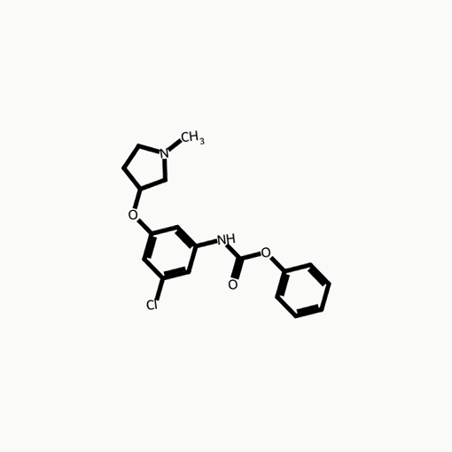 CN1CCC(Oc2cc(Cl)cc(NC(=O)Oc3ccccc3)c2)C1